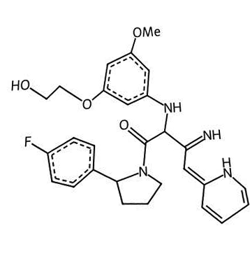 COc1cc(NC(C(=N)/C=C2/C=CC=CN2)C(=O)N2CCCC2c2ccc(F)cc2)cc(OCCO)c1